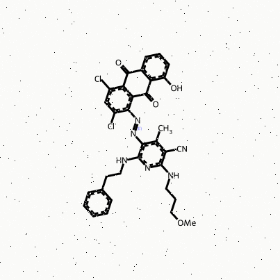 COCCCNc1nc(NCCc2ccccc2)c(/N=N/c2c(Cl)cc(Cl)c3c2C(=O)c2c(O)cccc2C3=O)c(C)c1C#N